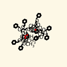 COC1C(OCC(OCc2ccccc2)C(OCc2ccccc2)C(COC(C)P(=O)(OCc2ccccc2)OC2C(COCc3ccccc3)OC(OCC(OCc3ccccc3)C(OCc3ccccc3)C(CO)OCc3ccccc3)C2OC)OCc2ccccc2)OC(COCc2ccccc2)C1OP(=O)(OCc1ccccc1)C(C)C